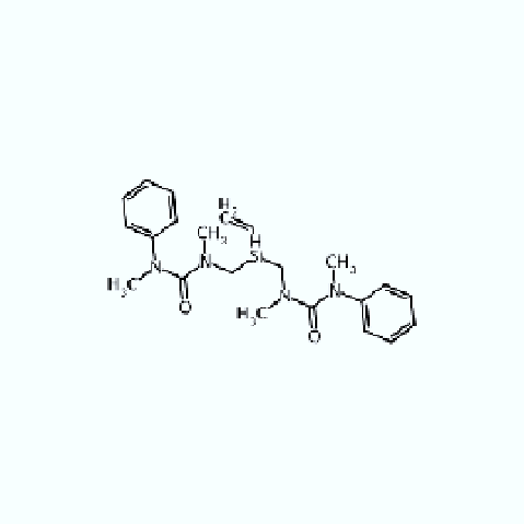 C=C[SiH](CN(C)C(=O)N(C)c1ccccc1)CN(C)C(=O)N(C)c1ccccc1